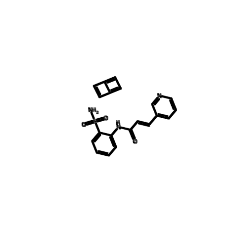 NS(=O)(=O)c1ccccc1NC(=O)C=Cc1cccnc1.c1cc2ccc1-2